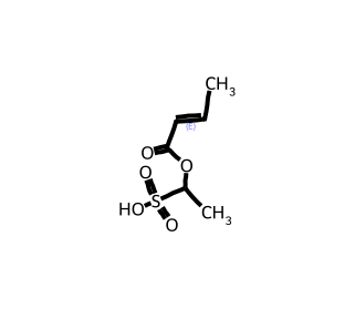 C/C=C/C(=O)OC(C)S(=O)(=O)O